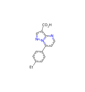 CCc1ccc(-c2ccnc3c(C(=O)O)cnn23)cc1